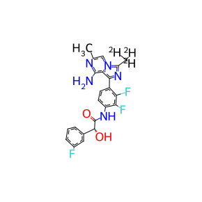 [2H]C([2H])([2H])c1nc(-c2ccc(NC(=O)[C@@H](O)c3cccc(F)c3)c(F)c2F)c2c(N)nc(C)cn12